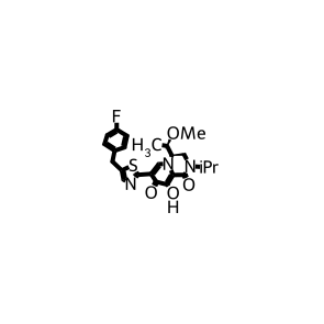 CO[C@H](C)[C@H]1CN(C(C)C)C(=O)c2c(O)c(=O)c(-c3ncc(Cc4ccc(F)cc4)s3)cn21